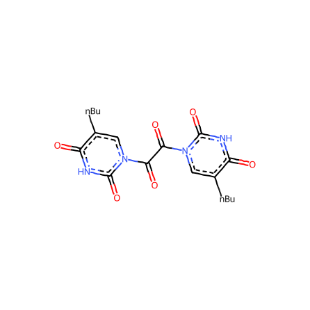 CCCCc1cn(C(=O)C(=O)n2cc(CCCC)c(=O)[nH]c2=O)c(=O)[nH]c1=O